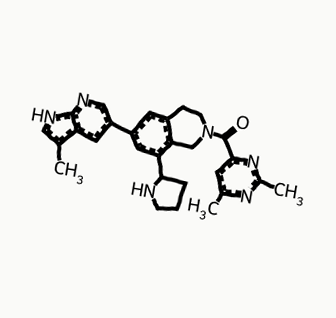 Cc1cc(C(=O)N2CCc3cc(-c4cnc5[nH]cc(C)c5c4)cc(C4CCCN4)c3C2)nc(C)n1